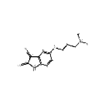 CN(C)CCNSc1ccc2c(c1)C(=O)C(=O)N2